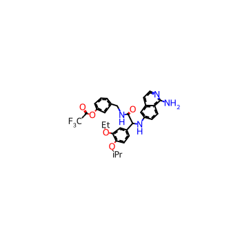 CCOc1cc(C(Nc2ccc3c(N)nccc3c2)C(=O)NCc2cccc(OC(=O)C(F)(F)F)c2)ccc1OC(C)C